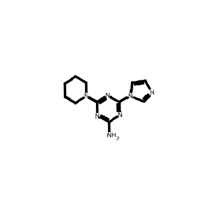 Nc1nc(N2CCCCC2)nc(-n2ccnc2)n1